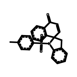 Cc1ccc(S(=O)(=O)N2c3ccccc3CC23C=CC(=O)c2ccccc23)cc1